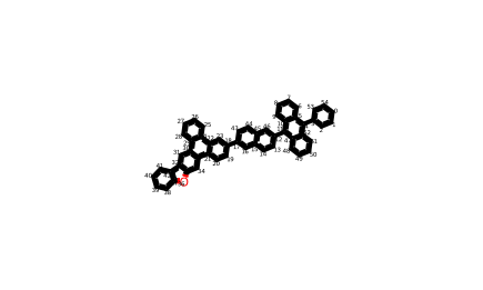 c1ccc(-c2c3ccccc3c(-c3ccc4cc(-c5ccc6c(c5)c5ccccc5c5cc7c(cc65)oc5ccccc57)ccc4c3)c3ccccc23)cc1